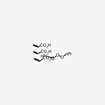 C=CC(=O)O.C=CC(=O)O.C=CC(=O)O.CCCOOOCCC